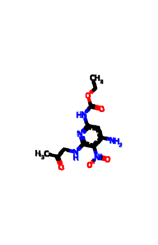 CCOC(=O)Nc1cc(N)c([N+](=O)[O-])c(NCC(C)=O)n1